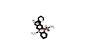 CN(c1cc2c(cc1O)[C@]13CCCC[C@@H]1[C@H](C2)NCC3)c1ccccc1NS(C)(=O)=O